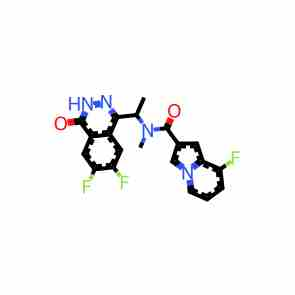 CC(c1n[nH]c(=O)c2cc(F)c(F)cc12)N(C)C(=O)c1cc2c(F)cccn2c1